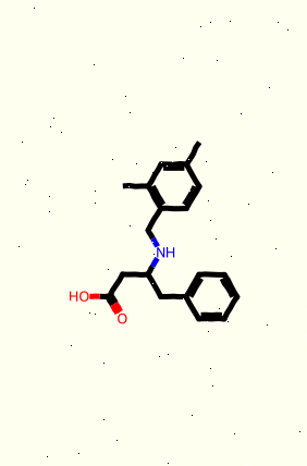 Cc1ccc(CNC(CC(=O)O)Cc2ccccc2)c(C)c1